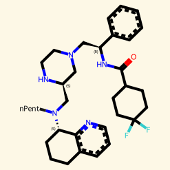 CCCCCN(C[C@@H]1CN(C[C@H](NC(=O)C2CCC(F)(F)CC2)c2ccccc2)CCN1)[C@H]1CCCc2cccnc21